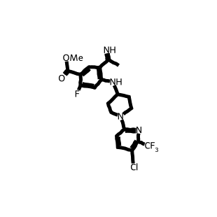 COC(=O)c1cc(C(C)=N)c(NC2CCN(c3ccc(Cl)c(C(F)(F)F)n3)CC2)cc1F